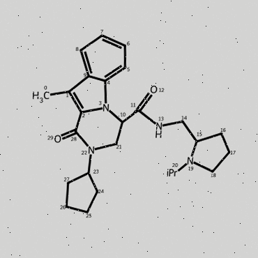 Cc1c2n(c3ccccc13)C(C(=O)NCC1CCCN1C(C)C)CN(C1CCCC1)C2=O